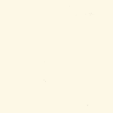 COC(=O)CCc1ccc(OCC(C)c2nc(-c3ccc(Br)cc3)oc2C)cc1C